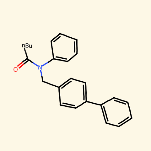 CCCCC(=O)N(Cc1ccc(-c2ccccc2)cc1)c1ccccc1